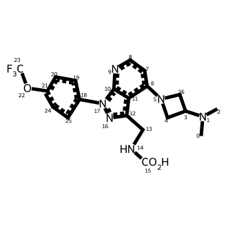 CN(C)C1CN(c2ccnc3c2c(CNC(=O)O)nn3-c2ccc(OC(F)(F)F)cc2)C1